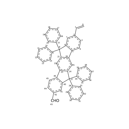 C=Cc1ccc2c(c1)C(c1ccccc1)(c1ccccc1)c1cc3c(cc1-2)C(c1ccccc1)(c1ccccc1)c1cc(C=O)ccc1-3